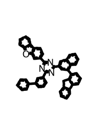 c1ccc(-c2cccc(-c3nc(-c4cc(-c5cccc6c5Cc5ccccc5-6)c5ccccc5c4)nc(-c4ccc5c(c4)oc4ccccc45)n3)c2)cc1